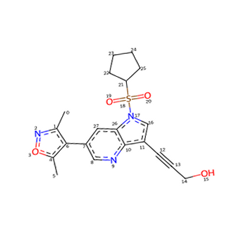 Cc1noc(C)c1-c1cnc2c(C#CCO)cn(S(=O)(=O)C3CCCC3)c2c1